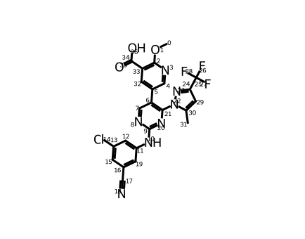 COc1ncc(-c2cnc(Nc3cc(Cl)cc(C#N)c3)nc2-n2nc(C(F)(F)F)cc2C)cc1C(=O)O